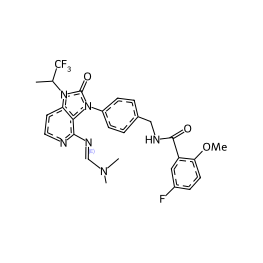 COc1ccc(F)cc1C(=O)NCc1ccc(-n2c(=O)n(C(C)C(F)(F)F)c3ccnc(/N=C/N(C)C)c32)cc1